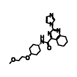 COCCO[C@H]1CC[C@H](NC(=O)c2nc(-n3ccnc3)nc3c2CCCC3)CC1